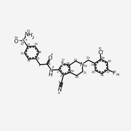 N#Cc1c(NC(=O)Cc2ccc([S+](N)[O-])cc2)sc2c1CCN(Cc1ccc(F)cc1Cl)C2